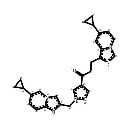 O=C(CCc1ncn2ccc(C3CC3)cc12)c1cnn(Cc2cn3cc(C4CC4)ccc3n2)c1